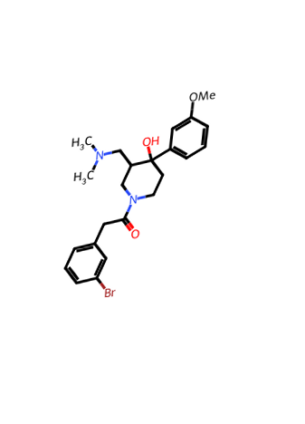 COc1cccc(C2(O)CCN(C(=O)Cc3cccc(Br)c3)CC2CN(C)C)c1